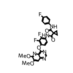 COc1cc2ncnc(Oc3ccc(NC(=O)C4(C(=O)Nc5ccc(F)cc5)CC4)c(F)c3F)c2nc1OC